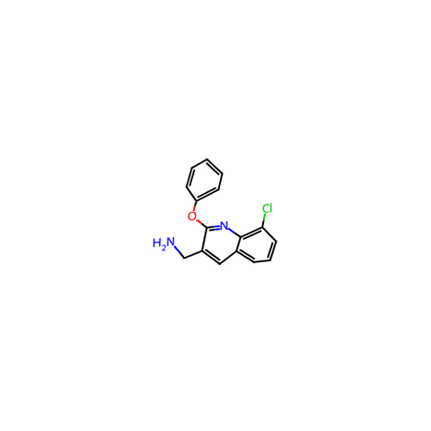 NCc1cc2cccc(Cl)c2nc1Oc1ccccc1